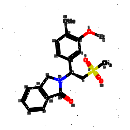 CCOc1cc([C@@H](CS(C)(=O)=O)N2Cc3ccc[c]c3C2=O)ccc1OC